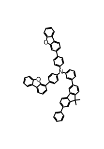 CC1(C)c2ccc(-c3cccc(N(c4ccc(-c5ccc6c(c5)oc5ccccc56)cc4)c4ccc(-c5cccc6c5oc5ccccc56)cc4)c3)cc2-c2ccc(-c3ccccc3)cc21